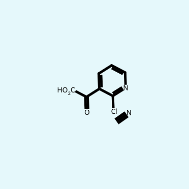 C#N.O=C(O)C(=O)c1cccnc1Cl